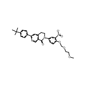 COCCOCOc1ccc(N2CCc3cc(-c4ccc(C(C)(C)C)cc4)ncc3C2=O)cc1[N+](=O)[O-]